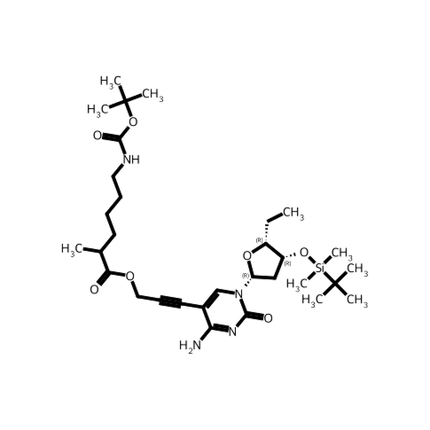 CC[C@H]1O[C@@H](n2cc(C#CCOC(=O)C(C)CCCCNC(=O)OC(C)(C)C)c(N)nc2=O)C[C@H]1O[Si](C)(C)C(C)(C)C